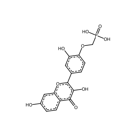 O=c1c(O)c(-c2ccc(OCP(=O)(O)O)c(O)c2)oc2cc(O)ccc12